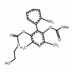 COC(=O)Oc1c(C)nc(C)c(OC(=O)OCCO)c1-c1ccccc1[N+](=O)[O-]